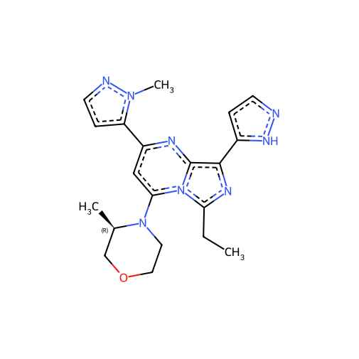 CCc1nc(-c2ccn[nH]2)c2nc(-c3ccnn3C)cc(N3CCOC[C@H]3C)n12